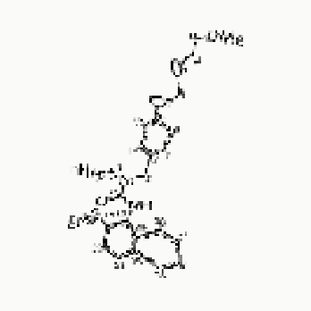 CCCCCCCN(Cc1ccc(OCOCCOC)cc1)C(=O)Nc1c(OCC)ccc2ccccc12